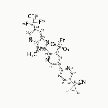 CCS(=O)(=O)c1cc(-c2ccc(C3(C#N)CC3)cn2)cnc1-c1nc2cc(C(F)(F)C(F)(F)F)cnc2n1C